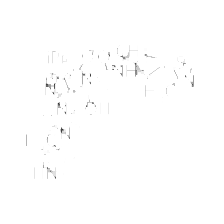 Cc1ncsc1-c1ccc(C(C)NC(=O)[C@@H]2C[C@@H](O)CN2C(=O)C(c2cc(N3CCN(CC4(C)CCNCC4)CC3)no2)C(C)C)cc1